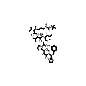 CC[C@H](C)[C@@H]([C@@H](CC(O)N1CCC[C@H]1[C@H](OC)[C@@H](C)C(=O)N[C@@H](Cc1ccccc1)c1nccs1)OC)N(C)C(=O)[C@@H](NC(=O)[C@H](C(C)C)N(C)CCCNC(=O)OC(C)(C)C)C(C)C